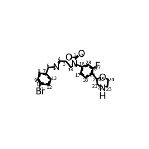 O=C1OC(/C=N/Cc2ccc(Br)cc2)CN1c1ccc(C2CNCCO2)c(F)c1